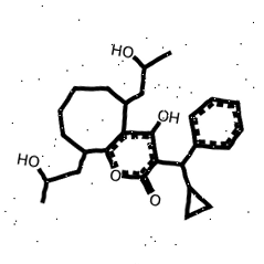 CC(O)CC1CCCCC(CC(C)O)c2c1oc(=O)c(C(c1ccccc1)C1CC1)c2O